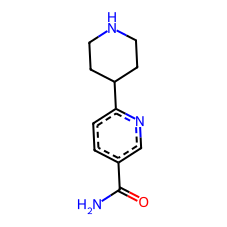 NC(=O)c1ccc(C2CCNCC2)nc1